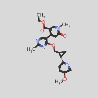 CCOC(=O)c1cn(C)c(=O)cc1-c1cnc(C)nc1OCC1C[C@@H]1c1ccc(OC)cn1